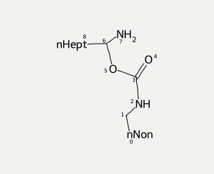 CCCCCCCCCCNC(=O)OC(N)CCCCCCC